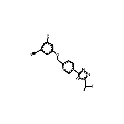 CC(F)c1nnc(-c2ccc(COc3cc(F)cc(C#N)c3)nc2)o1